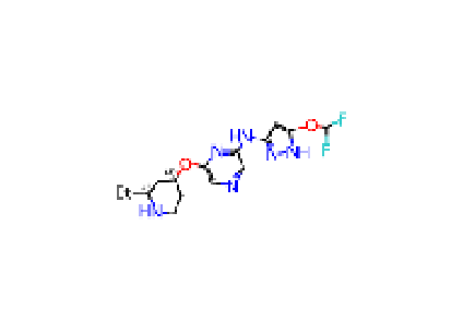 CC[C@H]1C[C@@H](Oc2cncc(Nc3cc(OC(F)F)[nH]n3)n2)CCN1